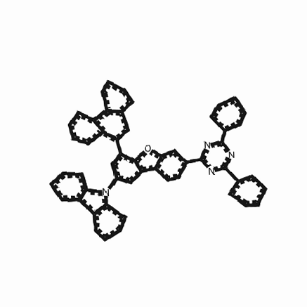 c1ccc(-c2nc(-c3ccccc3)nc(-c3ccc4c(c3)oc3c(-c5cc6ccccc6c6ccccc56)cc(-n5c6ccccc6c6ccccc65)cc34)n2)cc1